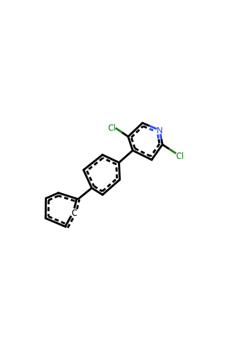 Clc1cc(-c2ccc(-c3ccccc3)cc2)c(Cl)cn1